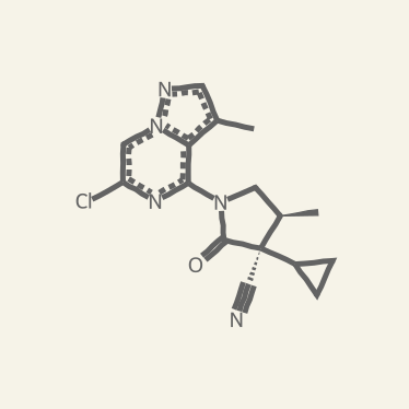 Cc1cnn2cc(Cl)nc(N3C[C@@H](C)[C@@](C#N)(C4CC4)C3=O)c12